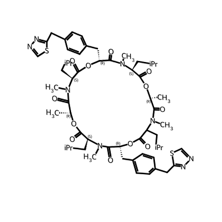 CC(C)CC1C(=O)O[C@H](Cc2ccc(Cc3nncs3)cc2)C(=O)N(C)[C@@H](CC(C)C)C(=O)O[C@H](C)C(=O)N(C)[C@@H](CC(C)C)C(=O)O[C@H](Cc2ccc(Cc3nncs3)cc2)C(=O)N(C)[C@@H](CC(C)C)C(=O)O[C@H](C)C(=O)N1C